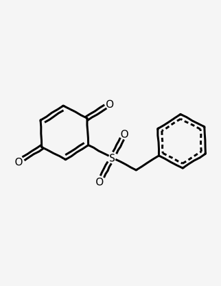 O=C1C=CC(=O)C(S(=O)(=O)Cc2ccccc2)=C1